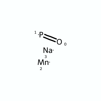 O=[P].[Mn].[Na]